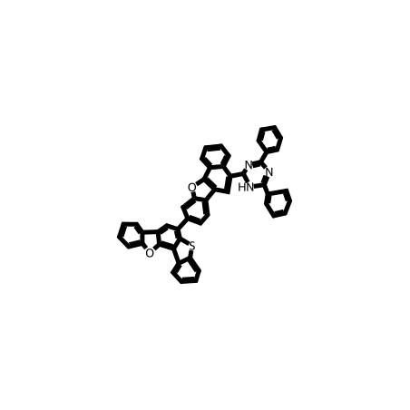 c1ccc(C2=NC(c3cc4c5ccc(-c6cc7c8ccccc8oc7c7c6sc6ccccc67)cc5oc4c4ccccc34)NC(c3ccccc3)=N2)cc1